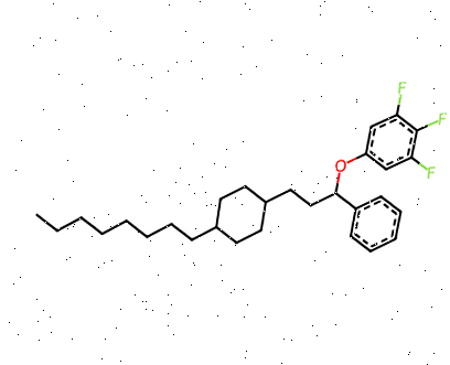 CCCCCCCCC1CCC(CCC(Oc2cc(F)c(F)c(F)c2)c2ccccc2)CC1